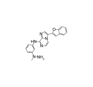 CN(N)c1cccc(Nc2nccn3c(-c4cc5ccccc5o4)cnc23)c1